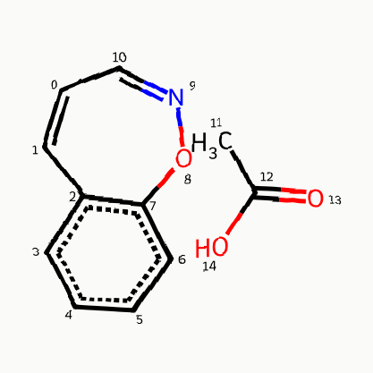 C1=Cc2ccccc2ON=C1.CC(=O)O